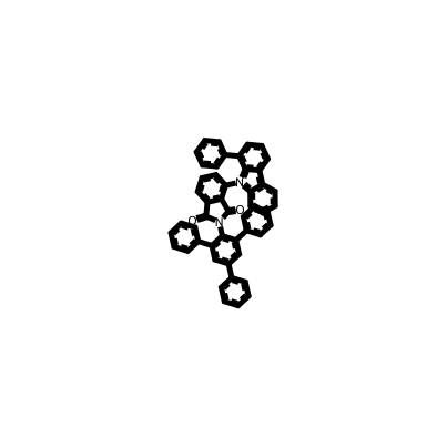 O=C1c2cccc(-n3c4ccccc4c4cccc(-c5ccccc5)c43)c2C(=O)N1c1c(-c2ccccc2)cc(-c2ccccc2)cc1-c1ccccc1